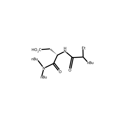 CCCCC(CC)C(=O)N[C@@H](CC(=O)O)C(=O)N(CCCC)CCCC